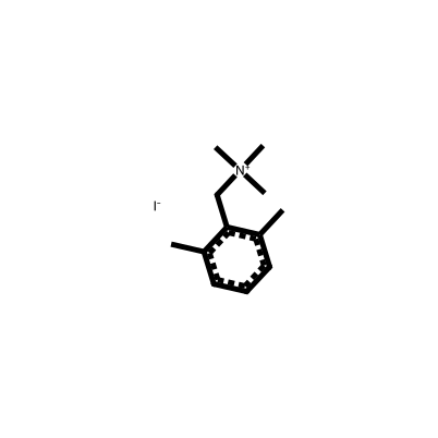 Cc1cccc(C)c1C[N+](C)(C)C.[I-]